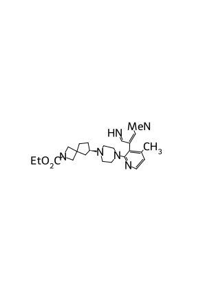 CCOC(=O)N1CC2(CC[C@@H](N3CCN(c4nccc(C)c4/C(C=N)=C/NC)CC3)C2)C1